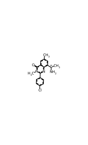 Cc1cc([C@@H](C)N)c2nc(-c3ccc(Cl)cc3)n(C)c(=O)c2c1